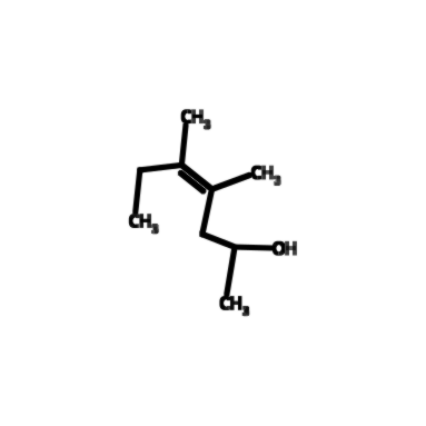 CCC(C)=C(C)CC(C)O